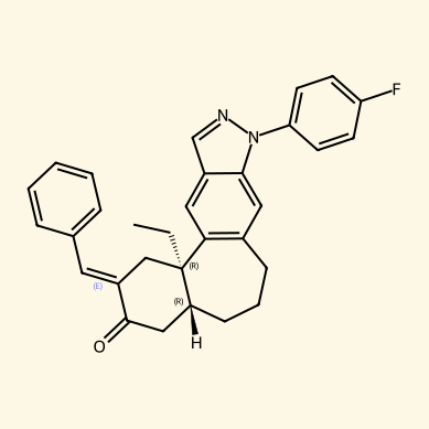 CC[C@@]12C/C(=C\c3ccccc3)C(=O)C[C@H]1CCCc1cc3c(cnn3-c3ccc(F)cc3)cc12